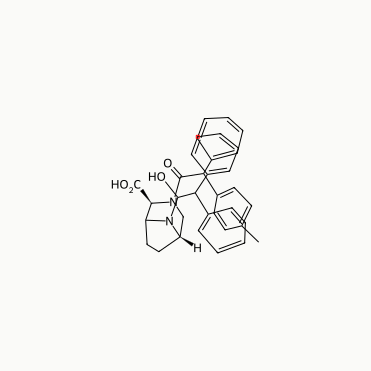 Cc1ccc(C(C(=O)N2C[C@@H]3CCC([C@H]2C(=O)O)N3C(O)C(c2ccccc2)c2ccccc2)c2ccccc2)cc1